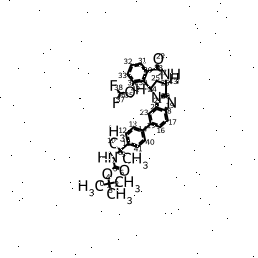 CC(C)(C)OC(=O)NC(C)(C)c1ccc(-c2ccc3nc4n(c3c2)[C@@H]2C[C@H]4NC(=O)c3cccc(OC(F)F)c32)cc1